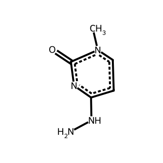 Cn1ccc(NN)nc1=O